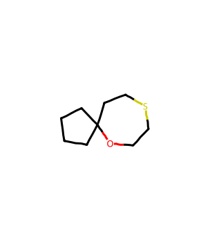 C1CCC2(C1)CCSCCO2